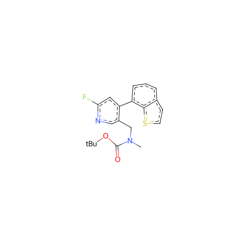 CN(Cc1cnc(F)cc1-c1cccc2ccsc12)C(=O)OC(C)(C)C